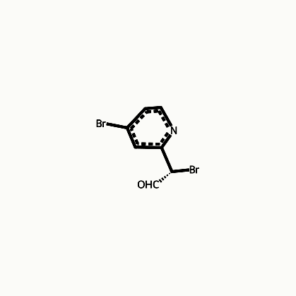 O=C[C@@H](Br)c1cc(Br)ccn1